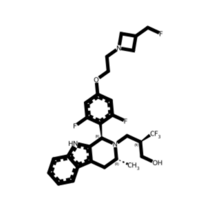 C[C@@H]1Cc2c([nH]c3ccccc23)[C@@H](c2c(F)cc(OCCN3CC(CF)C3)cc2F)N1C[C@H](CO)C(F)(F)F